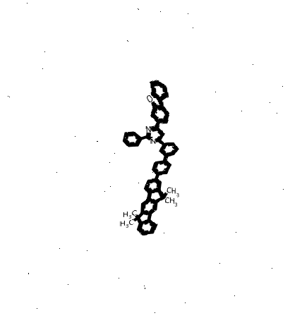 CC1(C)c2ccccc2-c2cc3c(cc21)-c1ccc(-c2ccc(-c4cccc(-c5cc(-c6ccc7c(c6)oc6ccccc67)nc(-c6ccccc6)n5)c4)cc2)cc1C3(C)C